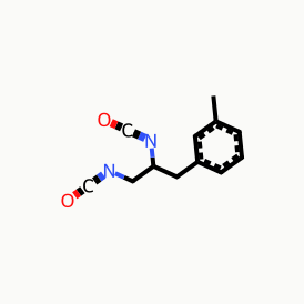 Cc1cccc(CC(CN=C=O)N=C=O)c1